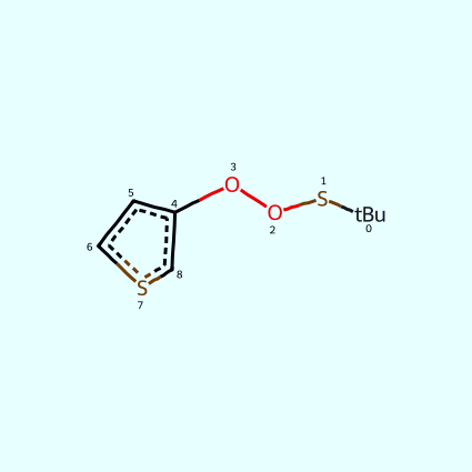 CC(C)(C)SOOc1ccsc1